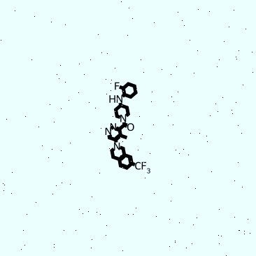 Cc1c(N2CCc3ccc(C(F)(F)F)cc3C2)cnnc1C(=O)N1CCC(NC2CCCCC2F)CC1